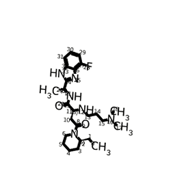 CC[C@H]1CCCCN1C(=O)C[C@H](NCCCN(C)C)C(=O)N[C@@H](C)c1nc2c(F)cccc2[nH]1